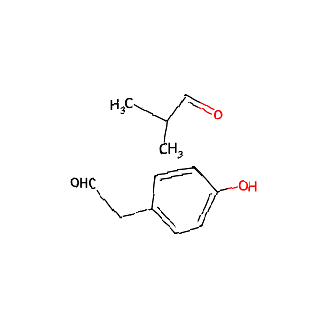 CC(C)C=O.O=CCc1ccc(O)cc1